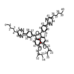 CCCCCc1cnc(-c2ccc(C(OC(c3ccc(OCC(C)CC)cc3)c3ccc(-c4ncc(CCCCC)cn4)cc3)c3ccc(OCC(C)CC)cc3)cc2)nc1